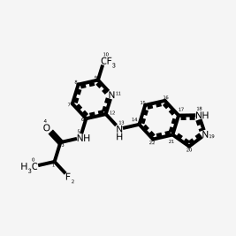 CC(F)C(=O)Nc1ccc(C(F)(F)F)nc1Nc1ccc2[nH]ncc2c1